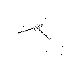 CCCCCCCCCCCCCCC(=O)O[C@H](COP(=O)(O)O)CSCCCCCCCCCOC=O